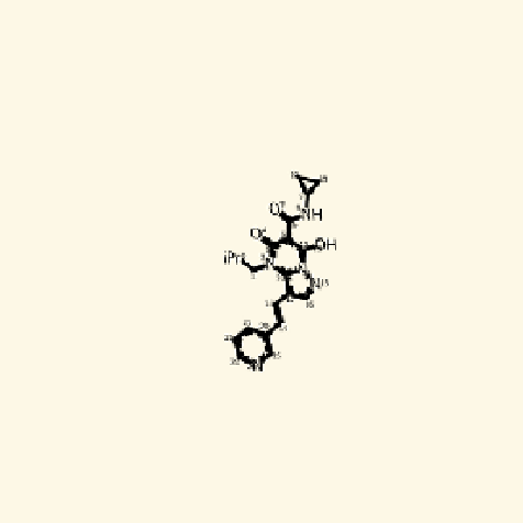 CC(C)Cn1c(=O)c(C(=O)NC2CC2)c(O)n2ncc(C=Cc3cccnc3)c12